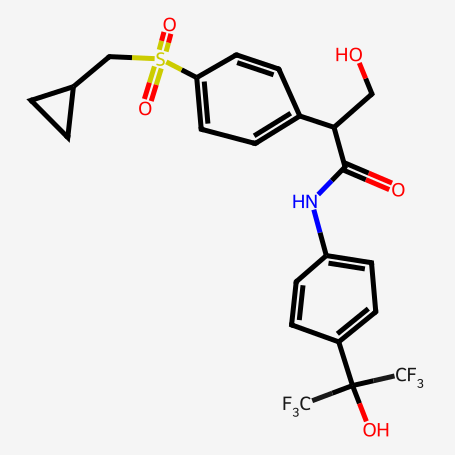 O=C(Nc1ccc(C(O)(C(F)(F)F)C(F)(F)F)cc1)C(CO)c1ccc(S(=O)(=O)CC2CC2)cc1